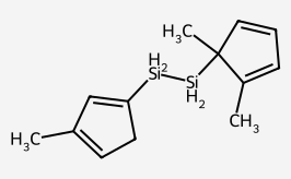 CC1=CCC([SiH2][SiH2]C2(C)C=CC=C2C)=C1